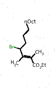 CCCCCCCCCCCC(Br)C(C)=C(C)C(=O)OCC